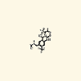 CC(=O)NCc1cc2c(=O)n(N(C(C)=O)S(C)(=O)=O)c(=O)[nH]c2cc1C(F)(F)F